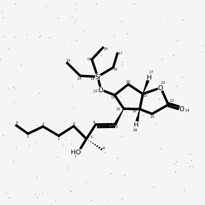 CCCCC[C@](C)(O)/C=C/[C@H]1C(O[Si](CC)(CC)CC)C[C@@H]2OC(=O)C[C@@H]21